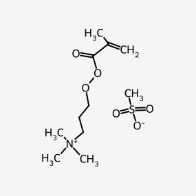 C=C(C)C(=O)OOCCC[N+](C)(C)C.CS(=O)(=O)[O-]